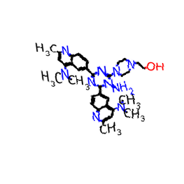 Cc1cc(N(C)C)c2cc(C3=NC(c4ccc5nc(C)cc(N(C)C)c5c4)N(N)C(N4CCN(CCO)CC4)=N3)ccc2n1